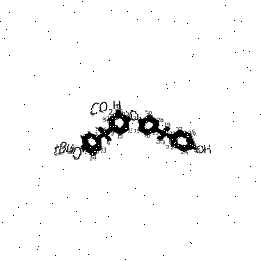 CC(C)(C)Oc1ccc(C(C)(C)c2ccc(Oc3ccc(C(C)(C)c4ccc(O)cc4)cc3)c(C(=O)O)c2)cc1